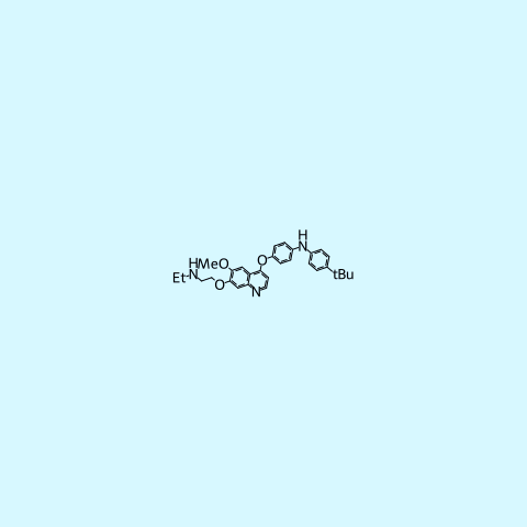 CCNCCOc1cc2nccc(Oc3ccc(Nc4ccc(C(C)(C)C)cc4)cc3)c2cc1OC